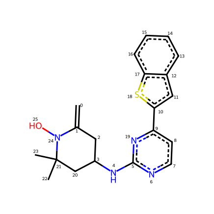 C=C1CC(Nc2nccc(-c3cc4ccccc4s3)n2)CC(C)(C)N1O